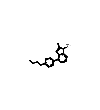 CCCCc1ccc(-c2cccc3c2C=C(C)[CH]3[Zr])cc1